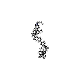 C#CCCN(Cc1ncc(C2C=CC3C=C(C4C=CC(c5cnc(CN(CC6(C)OCCO6)C(C)[C@@H](NC(=O)OC)C(C)C)[nH]5)=CC4)C=CC3C2)[nH]1)C(=C)[C@@H](CCC/C=C\N)N(CC)CC